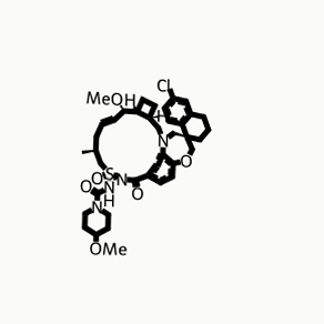 COC1CCN(C(=O)NS2(=O)=NC(=O)c3ccc4c(c3)N(C[C@@H]3CC[C@H]3[C@@H](OC)/C=C/C[C@H](C)C2)C[C@@]2(CCCc3cc(Cl)ccc32)CO4)CC1